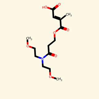 COCCN(CCOC)C(=O)CCOC(=O)C(C)=CC(=O)O